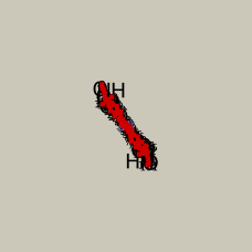 C=CC(=O)NCCOc1cc(C(C)C)c(N2C(=O)c3ccc4c5ccc6c7c(ccc(c8ccc(c3c48)C2=O)c75)-c2cc3cc4c(cc3cc2-6)/C=C\c2cc3cc5c(cc3cc2/C=C\4)-c2ccc3c4ccc6c7c(ccc(c8ccc-5c2c83)c74)C(=O)N(c2c(C(C)C)cc(OCCNC(=O)C=C)cc2C(C)C)C6=O)c(C(C)C)c1